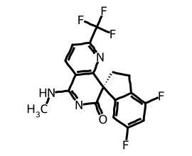 CNC1=NC(=O)[C@@]2(CCc3c(F)cc(F)cc32)c2nc(C(F)(F)F)ccc21